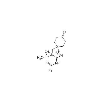 [2H]C1=CC(C)(C)N(CC2(C)CCC(=O)CC2)C([2H])N1